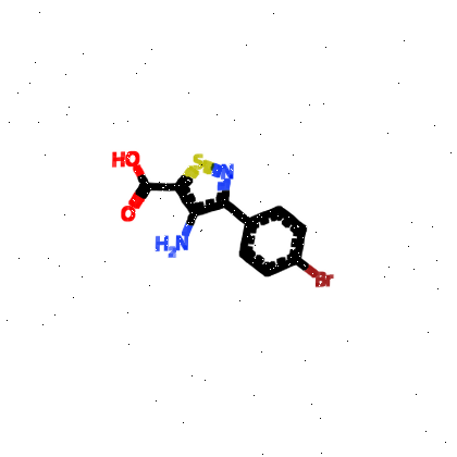 Nc1c(-c2ccc(Br)cc2)nsc1C(=O)O